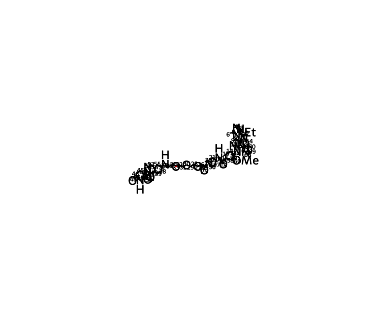 CC[C@@H]1c2nnc(C)n2-c2cnc(Nc3ccc(C(=O)NC4CCN(C(=O)COCCOCCOCCNc5ccc6c(=O)n(C7CCC(=O)NC7=O)ncc6c5)CC4)cc3OC)nc2N1CC1CCCCC1